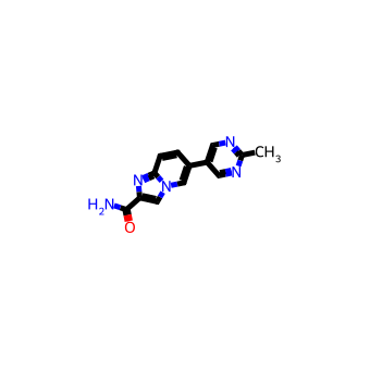 Cc1ncc(-c2ccc3nc(C(N)=O)cn3c2)cn1